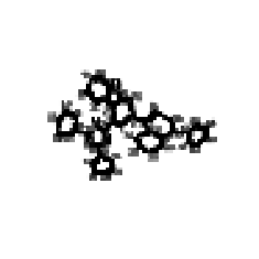 C1=C(c2cc(-c3nc(-c4ccccc4)nc(-c4ccccc4)n3)c3c(c2)oc2ccccc23)c2ccccc2C(c2ccccc2)C1